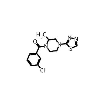 CC1CN(c2nncs2)CCN1C(=O)c1cccc(Cl)c1